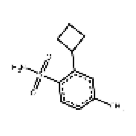 Cc1ccc(S(N)(=O)=O)c(C2CCC2)c1